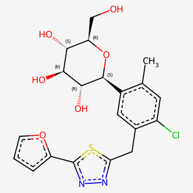 Cc1cc(Cl)c(Cc2nnc(-c3ccco3)s2)cc1[C@@H]1O[C@H](CO)[C@@H](O)[C@H](O)[C@H]1O